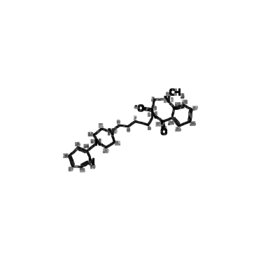 CN1CC(=O)N(CCCCN2CCN(c3ccccn3)CC2)C(=O)c2ccccc21